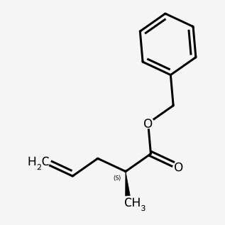 C=CC[C@H](C)C(=O)OCc1ccccc1